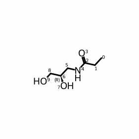 CCC(=O)NC[C@@H](O)CO